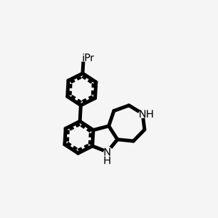 CC(C)c1ccc(-c2cccc3c2C2CCNCCC2N3)cc1